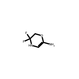 NC1=CNC(F)(F)CO1